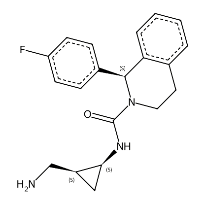 NC[C@@H]1C[C@@H]1NC(=O)N1CCc2ccccc2[C@@H]1c1ccc(F)cc1